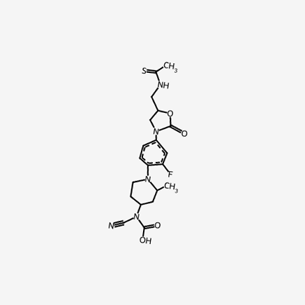 CC(=S)NCC1CN(c2ccc(N3CCC(N(C#N)C(=O)O)CC3C)c(F)c2)C(=O)O1